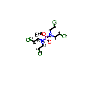 [CH2]COP(=O)(N(CCCl)CCCl)N(CCCl)CCCl